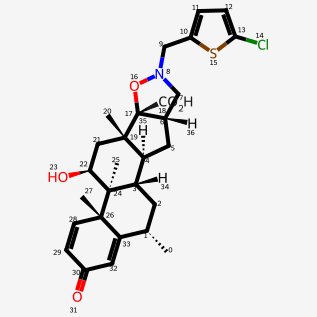 C[C@H]1C[C@H]2[C@@H]3C[C@H]4CN(Cc5ccc(Cl)s5)O[C@@]4(C(=O)O)[C@@]3(C)C[C@H](O)[C@]2(C)[C@@]2(C)C=CC(=O)C=C12